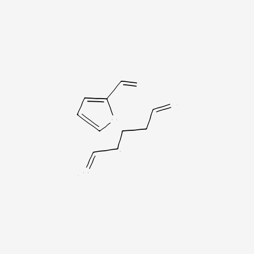 O=CCCCC=O.O=Cc1ccco1